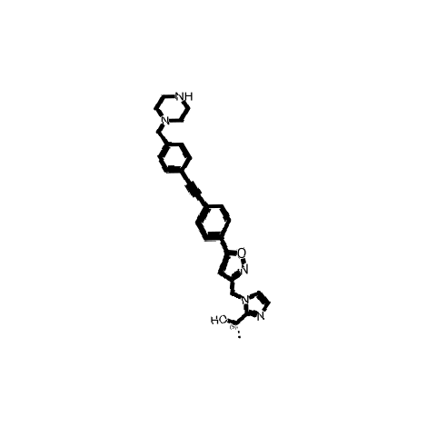 C[C@H](O)c1nccn1Cc1cc(-c2ccc(C#Cc3ccc(CN4CCNCC4)cc3)cc2)on1